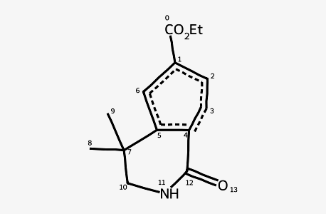 CCOC(=O)c1ccc2c(c1)C(C)(C)CNC2=O